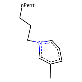 CCCCCCCC[n+]1cccc(C)c1